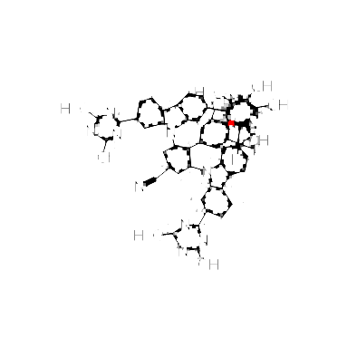 Cc1cc(-c2c(-n3c4cc(-c5nc(C)nc(C)n5)ccc4c4ccc(-c5nc(C)nc(C)n5)cc43)cc(C#N)cc2-n2c3cc(-c4nc(C)nc(C)n4)ccc3c3ccc(-c4nc(C)nc(C)n4)cc32)cc(C(F)(F)F)c1